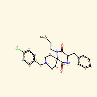 COCCN1C(=O)C(Cc2ccccc2)NC(=O)C12CCN(Cc1ccc(Cl)cc1)CC2